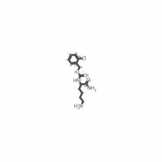 NCCCCC(NC(=O)OCc1ccccc1Cl)C(N)=O